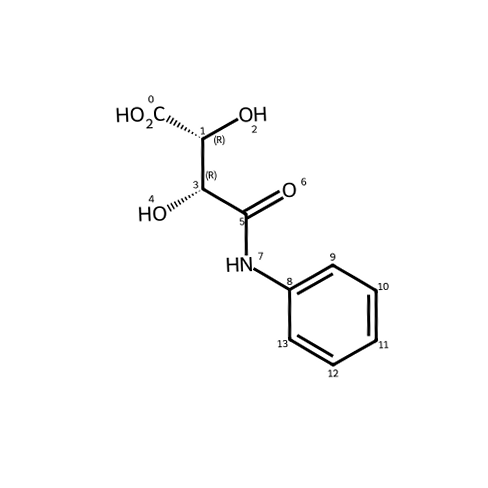 O=C(O)[C@H](O)[C@@H](O)C(=O)Nc1ccccc1